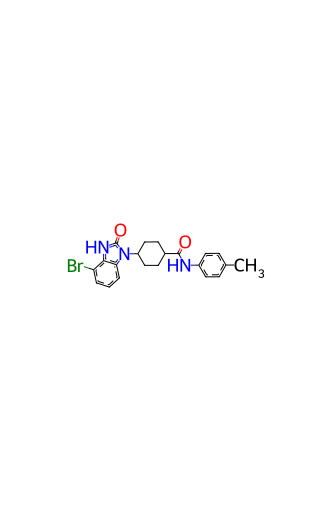 Cc1ccc(NC(=O)C2CCC(n3c(=O)[nH]c4c(Br)cccc43)CC2)cc1